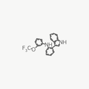 FC(F)(F)Oc1cccc(Nc2ccccc2-c2c[nH]c3ccccc23)c1